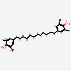 Cc1cc(CCCCCCCCCCCCc2cc(C)c(O)c(C(C)C)c2)cc(C(C)C)c1O